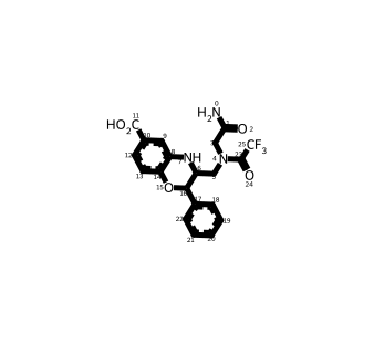 NC(=O)CN(CC1Nc2cc(C(=O)O)ccc2OC1c1ccccc1)C(=O)C(F)(F)F